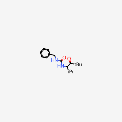 CC(C)C(NC(=O)NCc1ccccc1)C(=O)C(C)(C)C